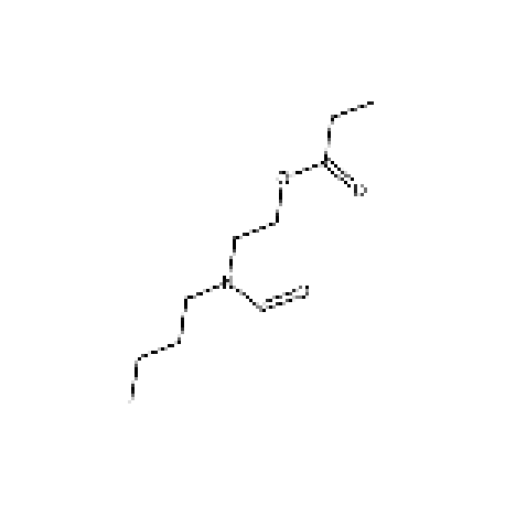 CCCCN(C=O)CCOC(=O)CC